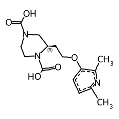 Cc1ccc(OCC[C@@H]2CN(C(=O)O)CCN2C(=O)O)c(C)n1